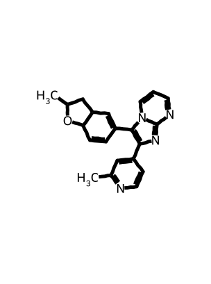 Cc1cc(-c2nc3ncccn3c2C2=CC3CC(C)OC3C=C2)ccn1